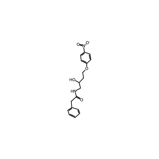 O=C(Cc1ccccc1)NCC(O)CCOc1ccc([N+](=O)[O-])cc1